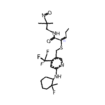 CC/C=C(/SCc1cnc(NC2CCCCC2(C)F)cc1C(F)(F)F)C(=O)NCC(C)(C)N=O